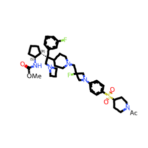 COC(=O)N[C@H]1CCC[C@@H]1C(CN1CCC1)(c1cccc(F)c1)C1CCN(CC2(F)CN(c3ccc(S(=O)(=O)C4CCN(C(C)=O)CC4)cc3)C2)CC1